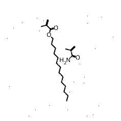 C=C(C)C(=O)OCCCCCCCCCCCCCC.C=C(C)C(N)=O